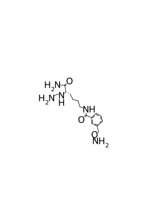 NCN[C@@H](CCCCNC(=O)c1cccc(CON)c1)C(N)=O